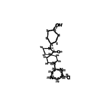 O=C1N(C2CCC(O)CC2)CCC12CCN(c1cncc(Cl)n1)CC2